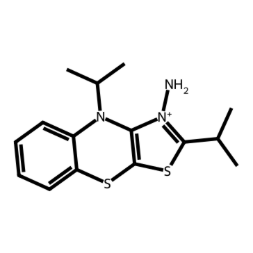 CC(C)c1sc2c([n+]1N)N(C(C)C)c1ccccc1S2